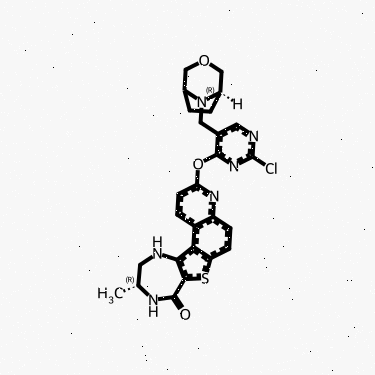 C[C@@H]1CNc2c(sc3ccc4nc(Oc5nc(Cl)ncc5CN5C6CC[C@@H]5COC6)ccc4c23)C(=O)N1